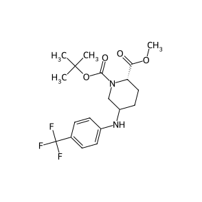 COC(=O)[C@@H]1CCC(Nc2ccc(C(F)(F)F)cc2)CN1C(=O)OC(C)(C)C